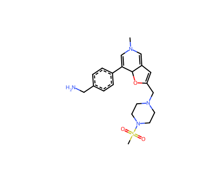 CN1C=C2C=C(CN3CCN(S(C)(=O)=O)CC3)OC2C(c2ccc(CN)cc2)=C1